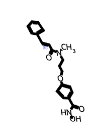 CN(CCCOc1ccc(C(=O)NO)cc1)C(=O)/C=C/c1ccccc1